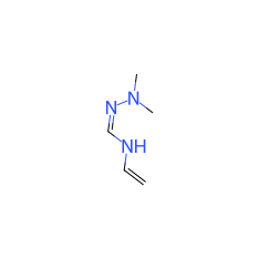 C=CN/C=N\N(C)C